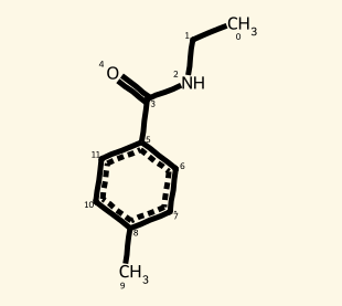 CCNC(=O)c1c[c]c(C)cc1